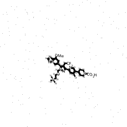 COc1cc(-c2c(CC(F)(F)F)c(-c3cc(C)c(C4=CCN(C(=O)O)CC4)cn3)nn2COCC[Si](C)(C)C)cn2ncnc12